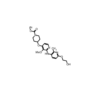 COc1c(OC2CCN(C(=O)OC(C)C)CC2)ccnc1Nc1ccc(OCCO)nc1C